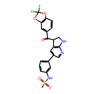 CS(=O)(=O)Nc1cccc(-c2cnc3c(c2)C(C(=O)c2ccc4c(c2)OC(F)(F)O4)CN3)c1